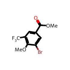 COC(=O)c1cc(Br)c(OC)c(C(F)(F)F)c1